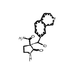 NC(=O)[C@@]1(C(Cl)c2ccc3ccncc3c2)CCNC1=O